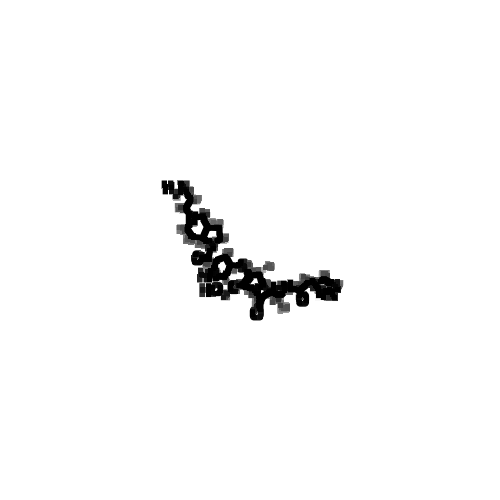 C[C@H]1C(SC2CN[C@H](C(=O)N3CCC4CN(CCN)CCC43)C2)=C(C(=O)O)N2C(=O)[C@H]([C@@H](C)NC(=O)Cn3cnnn3)C12